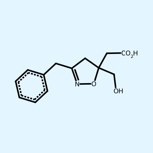 O=C(O)CC1(CO)CC(Cc2ccccc2)=NO1